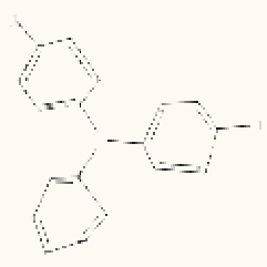 Clc1ccc(P(c2ccccc2)c2ccc(Cl)cc2)cc1